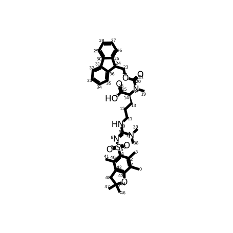 Cc1c(C)c(S(=O)(=O)/N=C(/NCCC[C@@H](C(=O)O)N(C)C(=O)OCC2c3ccccc3-c3ccccc32)N(C)C)c(C)c2c1OC(C)(C)C2